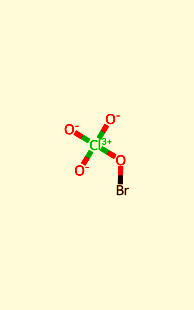 [O-][Cl+3]([O-])([O-])OBr